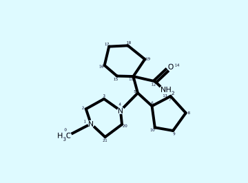 CN1CCN(C(C2CCCC2)C2(C(N)=O)CCCCC2)CC1